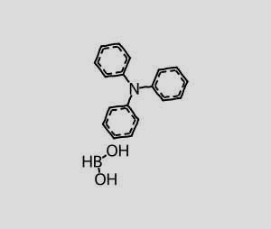 OBO.c1ccc(N(c2ccccc2)c2ccccc2)cc1